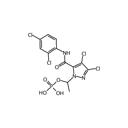 CC(OP(=O)(O)O)n1nc(Cl)c(Cl)c1C(=O)Nc1ccc(Cl)cc1Cl